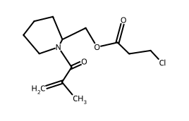 C=C(C)C(=O)N1CCCCC1COC(=O)CCCl